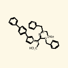 COC[C@H](Cc1ccccc1)N=C(OCc1ccccc1)[C@@H](CC(=O)O)n1ccc(-c2ccc(-c3ccccc3)cc2)c1